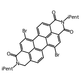 CCCC(C)N1Cc2ccc3c4c(Br)cc5c6c(ccc(c7c(Br)cc(c2c37)C1=O)c64)C(=O)N(C(C)CCC)C5=O